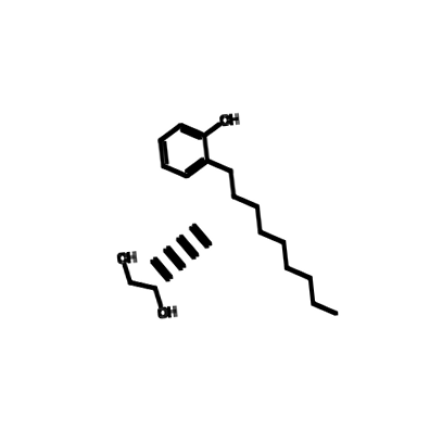 C=C.C=C.C=C.C=C.CCCCCCCCCc1ccccc1O.OCCO